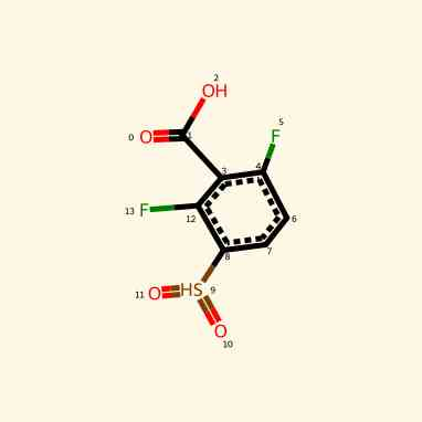 O=C(O)c1c(F)ccc([SH](=O)=O)c1F